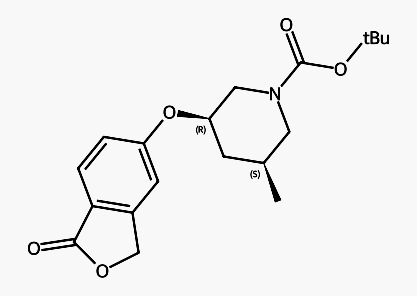 C[C@H]1C[C@@H](Oc2ccc3c(c2)COC3=O)CN(C(=O)OC(C)(C)C)C1